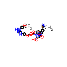 Cc1ncsc1-c1ccc(CNC(=O)[C@H]2C[C@H](O)CN2C(=O)C(NC(=O)COCCOc2ccc(-c3cc(Nc4ccc(OC(F)(F)F)cc4)ncn3)cc2)C(C)(C)C)cc1